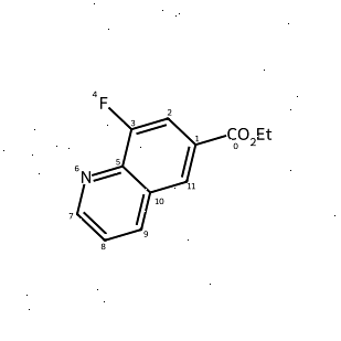 CCOC(=O)c1cc(F)c2ncccc2c1